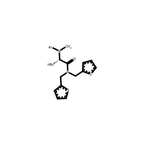 [CH2]CCC[C@@H](C(=O)N(Cc1cccs1)Cc1cccs1)N(C)C(C)=O